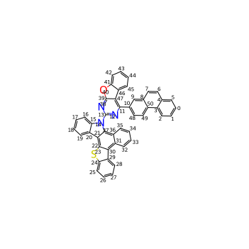 c1ccc2c(c1)ccc1cc(-c3nc(-n4c5ccccc5c5c6sc7ccccc7c6c6ccccc6c54)nc4oc5ccccc5c34)ccc12